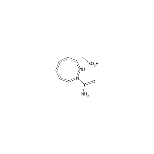 CS(=O)(=O)O.NC(=O)n1cccccc[nH]1